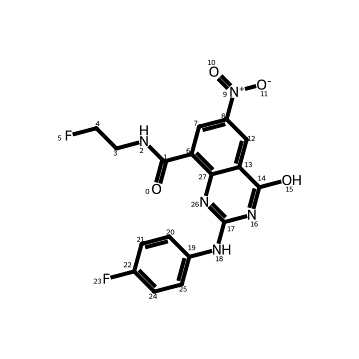 O=C(NCCF)c1cc([N+](=O)[O-])cc2c(O)nc(Nc3ccc(F)cc3)nc12